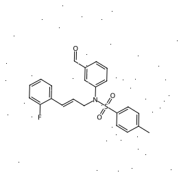 Cc1ccc(S(=O)(=O)N(CC=Cc2ccccc2F)c2cccc(C=O)c2)cc1